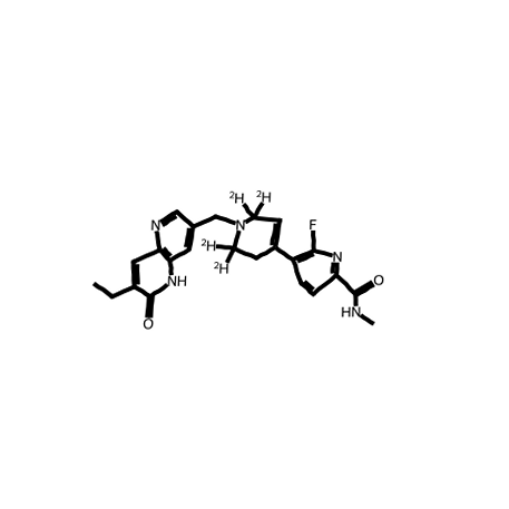 [2H]C1([2H])C=C(c2ccc(C(=O)NC)nc2F)CC([2H])([2H])N1Cc1cnc2cc(CC)c(=O)[nH]c2c1